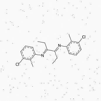 CCC(=N\c1cccc(Cl)c1C)/C(CC)=N/c1cccc(Cl)c1C